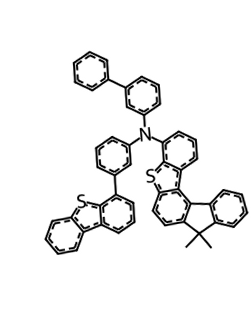 CC1(C)c2ccccc2-c2c1ccc1sc3c(N(c4cccc(-c5ccccc5)c4)c4cccc(-c5cccc6c5sc5ccccc56)c4)cccc3c21